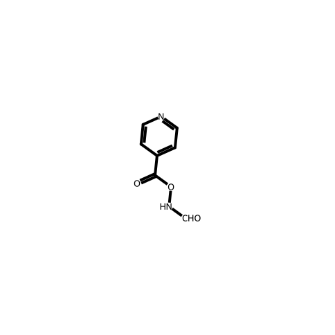 O=CNOC(=O)c1ccncc1